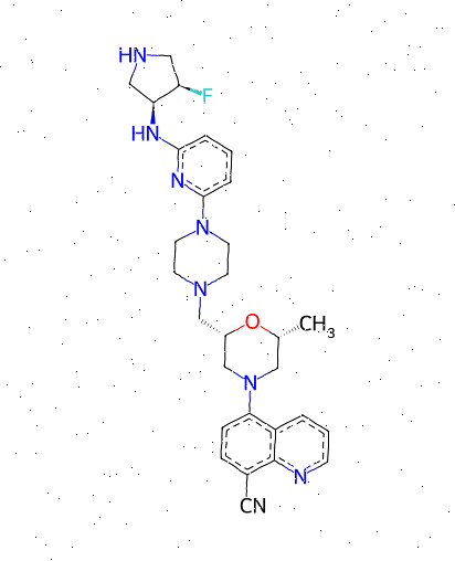 C[C@@H]1CN(c2ccc(C#N)c3ncccc23)C[C@H](CN2CCN(c3cccc(N[C@H]4CNC[C@H]4F)n3)CC2)O1